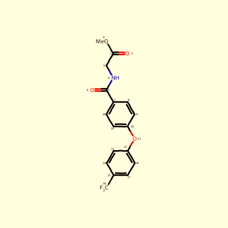 COC(=O)CNC(=O)c1ccc(Oc2ccc(C(F)(F)F)cc2)cc1